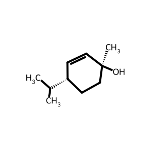 CC(C)[C@@H]1C=C[C@@](C)(O)CC1